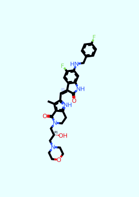 Cc1c(/C=C2\C(=O)Nc3cc(NCc4ccc(F)cc4)c(F)cc32)[nH]c2c1C(=O)N(C[C@H](O)CN1CCOCC1)CC2